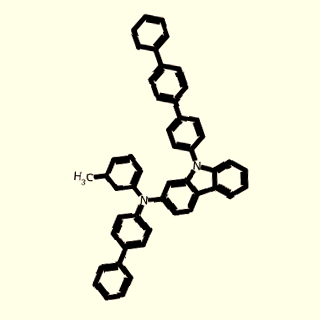 CC1C=CC=C(N(c2ccc(-c3ccccc3)cc2)c2ccc3c4ccccc4n(-c4ccc(-c5ccc(C6=CC=CCC6)cc5)cc4)c3c2)C1